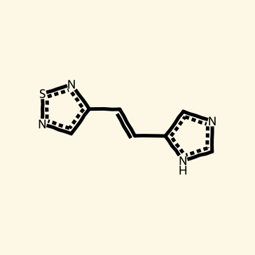 C(=Cc1cnc[nH]1)c1cnsn1